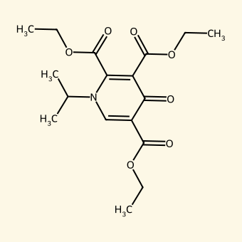 CCOC(=O)c1cn(C(C)C)c(C(=O)OCC)c(C(=O)OCC)c1=O